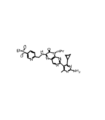 CCCn1c(=O)c(NCc2ccc(S(=O)(=O)CC)cn2)nc2cnc(-c3c(C)nc(N)nc3C3CC3)nc21